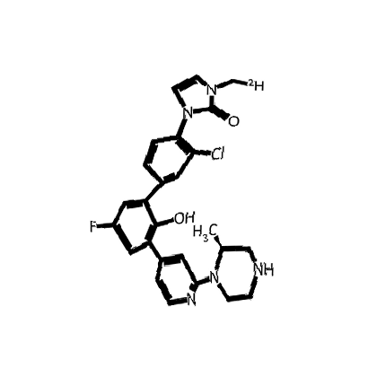 [2H]Cn1ccn(-c2ccc(-c3cc(F)cc(-c4ccnc(N5CCNC[C@@H]5C)c4)c3O)cc2Cl)c1=O